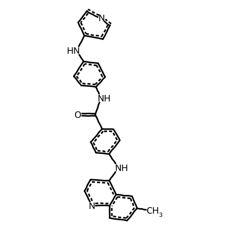 Cc1ccc2nccc(Nc3ccc(C(=O)Nc4ccc(Nc5ccncc5)cc4)cc3)c2c1